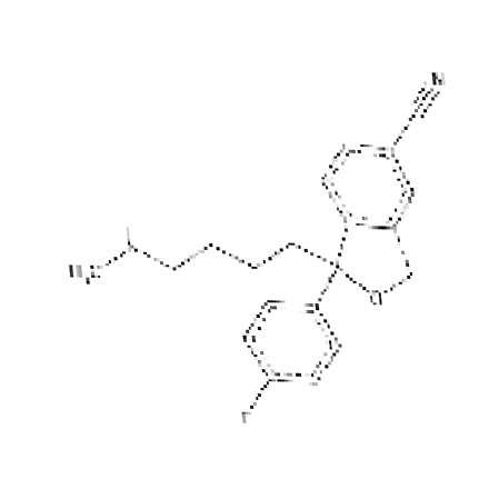 CNCCCCC1(c2ccc(F)cc2)OCc2cc(C#N)ccc21